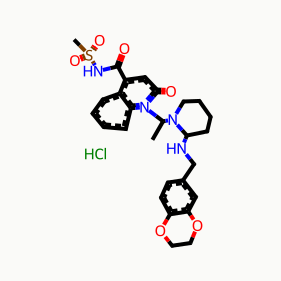 CC(N1CCCCC1NCc1ccc2c(c1)OCCO2)n1c(=O)cc(C(=O)NS(C)(=O)=O)c2ccccc21.Cl